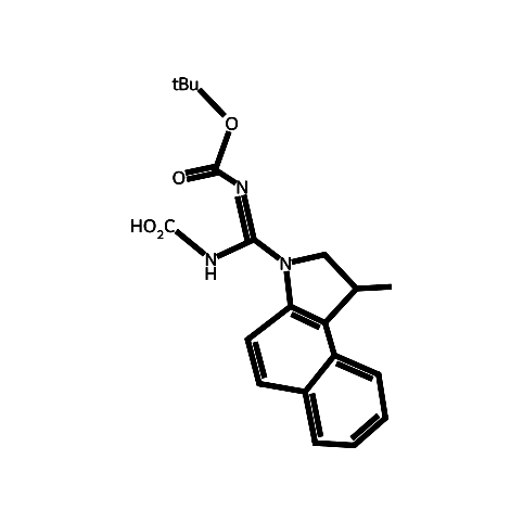 CC1CN(/C(=N/C(=O)OC(C)(C)C)NC(=O)O)c2ccc3ccccc3c21